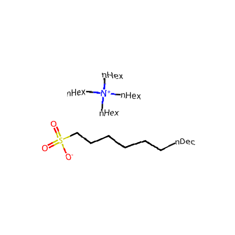 CCCCCCCCCCCCCCCCS(=O)(=O)[O-].CCCCCC[N+](CCCCCC)(CCCCCC)CCCCCC